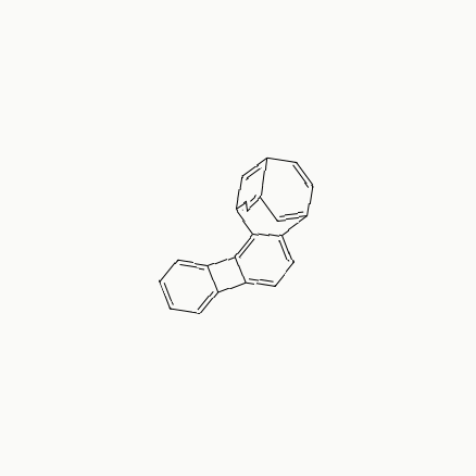 c1ccc2c(c1)c1ccc3c4ccc5cc(ccc5c4)c3c21